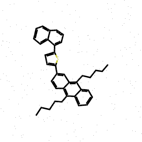 CCCCCc1c2ccccc2c(CCCCC)c2cc(-c3ccc(-c4cccc5ccccc45)s3)ccc12